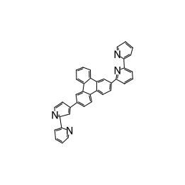 c1ccc(-c2cc(-c3ccc4c5ccc(-c6cccc(-c7ccccn7)n6)cc5c5ccccc5c4c3)ccn2)nc1